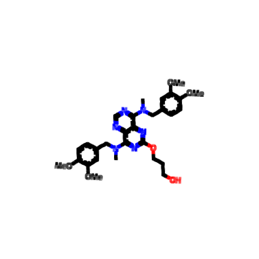 COc1ccc(CN(C)c2nc(OCCCO)nc3c(N(C)Cc4ccc(OC)c(OC)c4)ncnc23)cc1OC